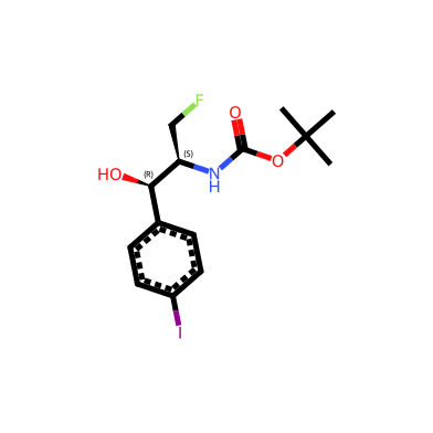 CC(C)(C)OC(=O)N[C@H](CF)[C@H](O)c1ccc(I)cc1